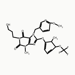 COc1ccc(Cn2c(OC3=CC=CC(OC(F)(F)F)C3C)nc3c2c(=O)n(CCCO)c(=O)n3C)cn1